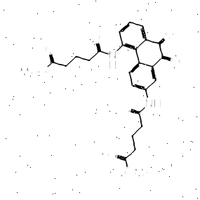 COC(=O)CCCC(=O)Nc1ccc2c(c1)C(=O)C(=O)c1cccc(NC(=O)CCCC(=O)OC)c1-2